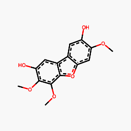 COc1cc2oc3c(OC)c(OC)c(O)cc3c2cc1O